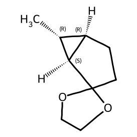 C[C@@H]1[C@H]2CCC3(OCCO3)[C@@H]12